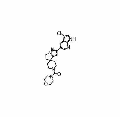 O=C(N1CCOCC1)N1CCC2(CC1)CCn1nc(-c3cnc4[nH]cc(Cl)c4c3)cc12